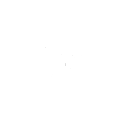 CCOC(=O)C(Cc1ccccc1)CN(C(C)=O)c1cccc2ccccc12